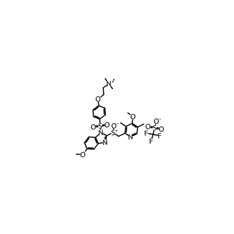 COc1ccc2c(c1)nc([S+]([O-])Cc1ncc(C)c(OC)c1C)n2S(=O)(=O)c1ccc(OCC[N+](C)(C)C)cc1.O=S(=O)([O-])C(F)(F)F